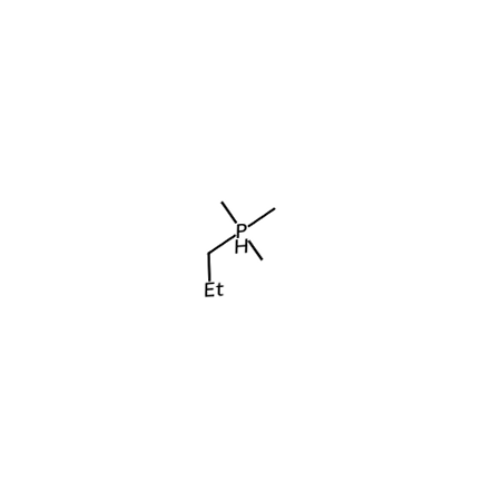 CCC[PH](C)(C)C